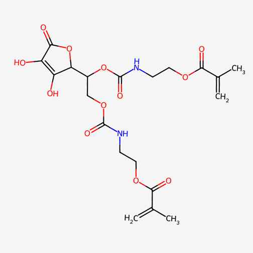 C=C(C)C(=O)OCCNC(=O)OCC(OC(=O)NCCOC(=O)C(=C)C)C1OC(=O)C(O)=C1O